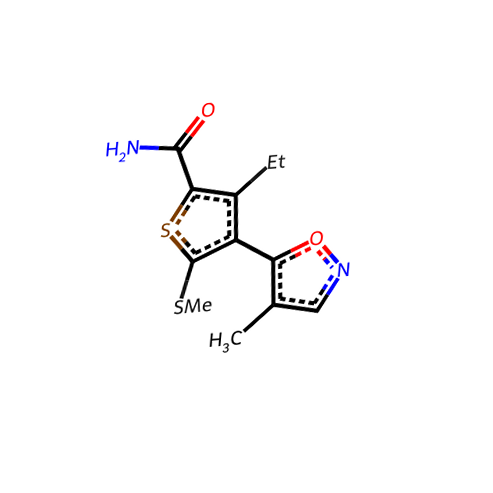 CCc1c(C(N)=O)sc(SC)c1-c1oncc1C